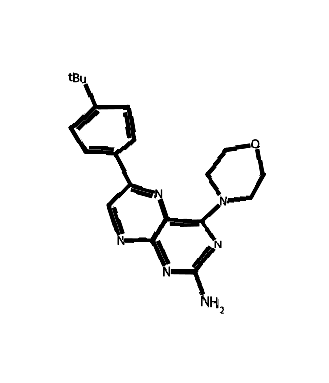 CC(C)(C)c1ccc(-c2cnc3nc(N)nc(N4CCOCC4)c3n2)cc1